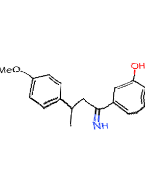 COc1ccc(C(C)CC(=N)c2cccc(O)c2)cc1